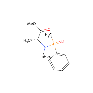 CCCCCCN([C@H](C)C(=O)OC)P(C)(=O)c1ccccc1